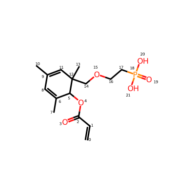 C=CC(=O)OC1C(C)=CC(C)=CC1(C)COCCP(=O)(O)O